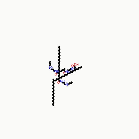 CCCCCCCCCCCCCCCCC(C)CCC(C(=O)NCCC[N+](C)(C)CCCC)C(CCCCCCCCCCCCCCCC)CCC(C(=O)NCCC[N+](C)(C)CCCC)C(CCCCCCCCCCCCCCCC)CCC(C)C(=O)NCCC[N+](C)(C)CCC(=O)O